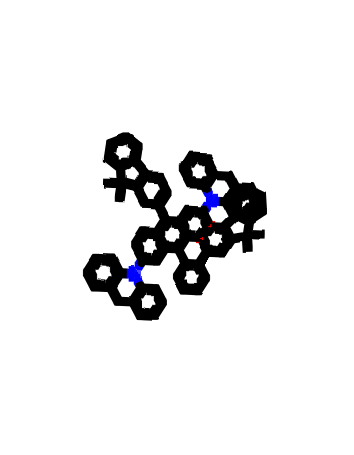 CC1(C)c2ccccc2-c2ccc(-c3ccccc3-c3c4ccc(N5c6ccccc6Cc6ccccc65)cc4c(C4=CC=C5c6ccccc6C(C)(C)C5C4)c4ccc(N5c6ccccc6Cc6ccccc65)cc34)cc21